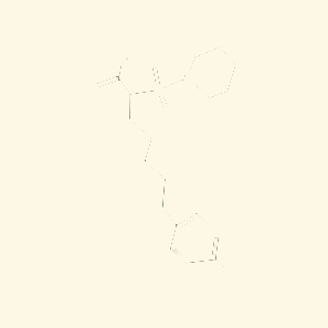 O=C(O)C(CCCCCc1ccc(Cl)cc1)S(=O)(=O)N1CCCCC1